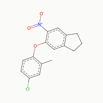 Cc1cc(Cl)ccc1Oc1cc2c(cc1[N+](=O)[O-])CCC2